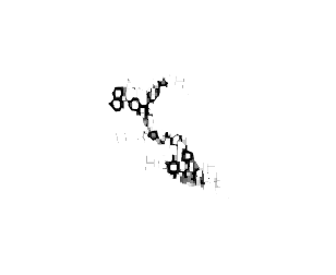 C=CC(=O)N1CCN(c2nc(OC[C@@H]3C[C@@H](N(C)C(=O)C4CCN(Cc5ccc(N(C(=N)C(=O)NCC(F)(F)F)C(=N)c6cc(C(C)C)c(O)cc6O)cc5)CC4)CN3C)nc3c2CCN(c2cccc4cccc(Cl)c24)C3)C[C@@H]1CC#N